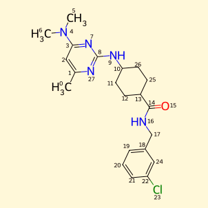 Cc1cc(N(C)C)nc(NC2CCC(C(=O)NCc3cccc(Cl)c3)CC2)n1